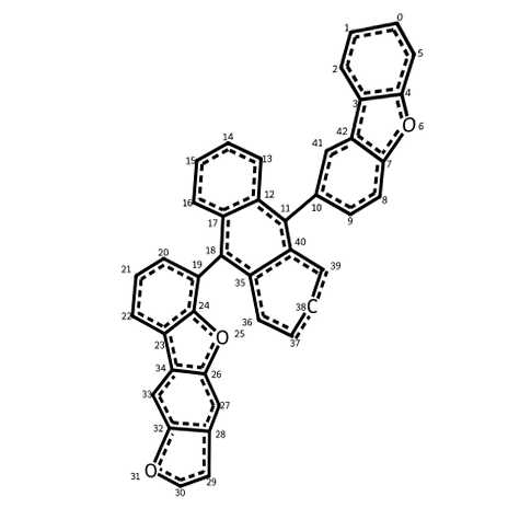 c1ccc2c(c1)oc1ccc(-c3c4ccccc4c(-c4cccc5c4oc4cc6ccoc6cc45)c4ccccc34)cc12